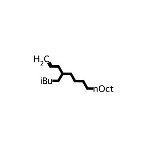 C=CCC(CCCCCCCCCCCC)CC(C)CC